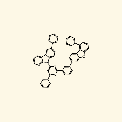 c1ccc(-c2ccc3c(c2)c2ccccc2n3-c2nc(-c3ccccc3)nc(-c3cccc(-c4ccc5c(c4)oc4cccc(-c6ccccc6)c45)c3)n2)cc1